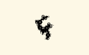 CCOC(=O)CCc1ccc(OC2CCN(CC(O)(c3cn(Cc4ccc(OC)cc4)c4cc([N+](=O)[O-])ccc34)C(F)(F)F)CC2)c(OC)c1